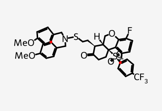 COc1ccc(CN(Cc2ccc(OC)cc2)SCC[C@@H]2C(=O)CC[C@@]3(S(=O)(=O)c4ccc(C(F)(F)F)cc4)c4c(F)ccc(F)c4OC[C@@H]23)cc1